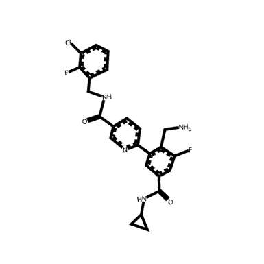 NCc1c(F)cc(C(=O)NC2CC2)cc1-c1ccc(C(=O)NCc2cccc(Cl)c2F)cn1